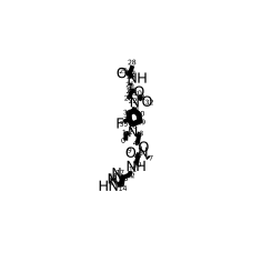 CCN(CCON(C)C(=O)CNCc1c[nH]nn1)c1ccc(N2C[C@H](CNC(C)=O)OC2=O)cc1F